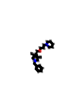 c1ccc(CN2C[C@@H]3[C@H](COCCCN4CCCCC4)[C@@H]3C2)cc1